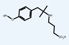 CCCOc1ccc(CC(C)(C)NCCCS(=O)(=O)O)cc1